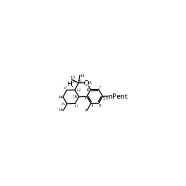 CCCCCc1cc(C)c2c(c1)OC(C)(C)[C@@H]1CCC(C)CC21